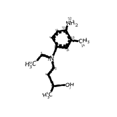 CCN(CCC(C)O)c1ccc(N)c(C)c1